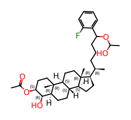 CC(=O)O[C@H]1CC[C@@]2(C)[C@@H](CC[C@@H]3[C@@H]2CC[C@]2(C)[C@@H]([C@H](C)CCCC(OC(C)O)c4ccccc4F)CC[C@@H]32)[C@H]1O